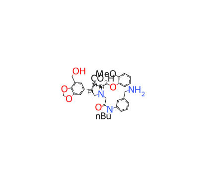 CCCCN(C(=O)CN1C[C@H](c2cc(CO)c3c(c2)OCO3)[C@@H](C(=O)O)[C@@H]1COc1ccccc1OC)c1cccc(CN)c1